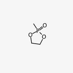 CP1(=O)OCCO1